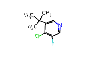 CC(C)(C)c1cncc(F)c1Cl